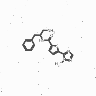 Cn1ncnc1-c1ccc(C(=O)NC(CN)Cc2ccccc2)s1